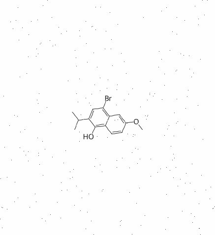 COc1ccc2c(O)c(C(C)C)cc(Br)c2c1